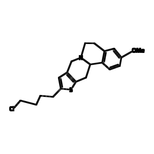 COc1ccc2c(c1)CCN1Cc3cc(CCCCCl)sc3CC21